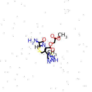 COC(=O)COC(=O)C1=C(C2SN3NN=C2N3C)CS[C@H]2C(N)C(=O)N12